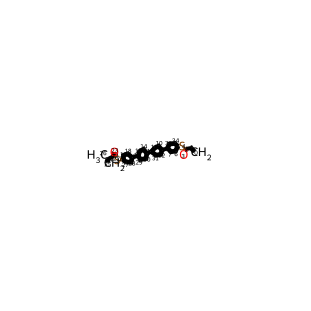 C=CC(=O)Sc1ccc(-c2ccc(-c3ccc(-c4ccc(SC(=O)C(=C)C)cc4)cc3)cc2)cc1